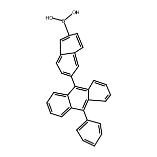 OB(O)c1ccc2cc(-c3c4ccccc4c(-c4ccccc4)c4ccccc34)ccc2c1